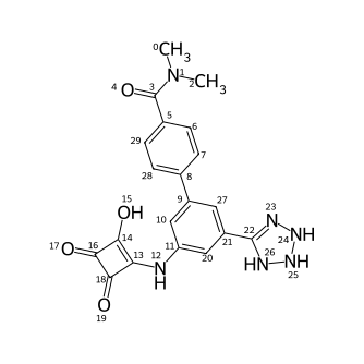 CN(C)C(=O)c1ccc(-c2cc(Nc3c(O)c(=O)c3=O)cc(C3=NNNN3)c2)cc1